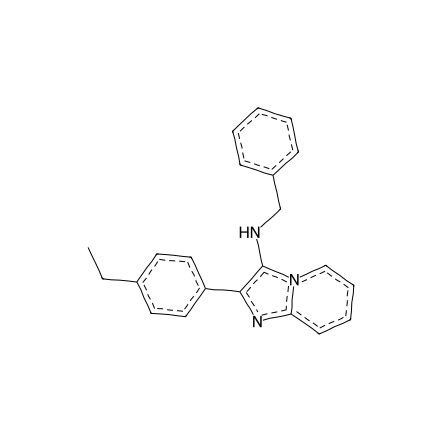 CCc1ccc(-c2nc3ccccn3c2NCc2ccccc2)cc1